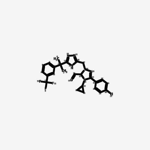 CC(C)(c1cccc(C(F)(F)F)c1)c1nnc(CN2N=C(c3ccc(Cl)cc3)N(C3CC3)C2C=O)[nH]1